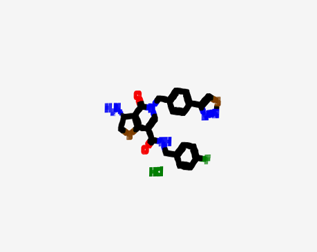 Cl.N[C@H]1CSc2c(C(=O)NCc3ccc(F)cc3)cn(Cc3ccc(-c4csnn4)cc3)c(=O)c21